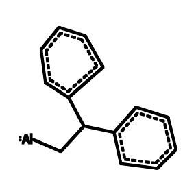 [Al][CH2]C(c1ccccc1)c1ccccc1